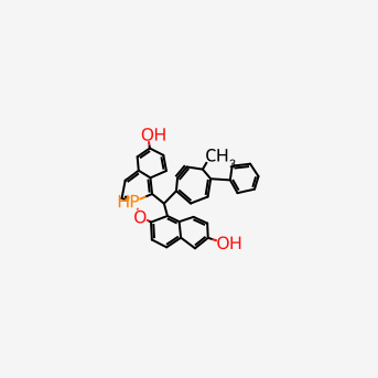 CC1C#CC(C2C3=c4ccc(O)cc4=CC=[PH]3Oc3ccc4cc(O)ccc4c32)=CC=C1c1ccccc1